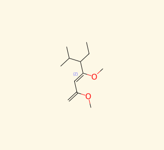 C=C(/C=C(\OC)C(CC)C(C)C)OC